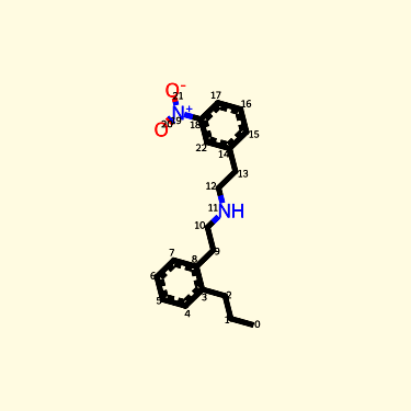 CCCc1ccccc1CCNCCc1cccc([N+](=O)[O-])c1